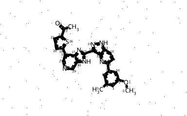 COc1cc(C)cc(-c2ccc3[nH]nc(-c4nc5c(-c6ccc(C(C)=O)s6)cncc5[nH]4)c3n2)c1